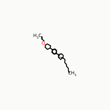 CC=CCOC1CCC(c2ccc(C34CCC(CCCCCCC)(CC3)CC4)cc2)CC1